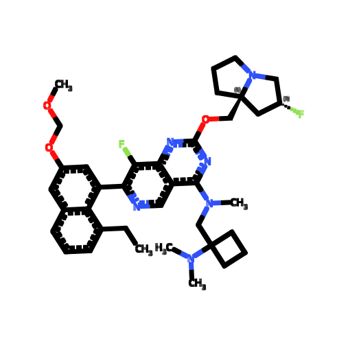 CCc1cccc2cc(OCOC)cc(-c3ncc4c(N(C)CC5(N(C)C)CCC5)nc(OC[C@@]56CCCN5C[C@H](F)C6)nc4c3F)c12